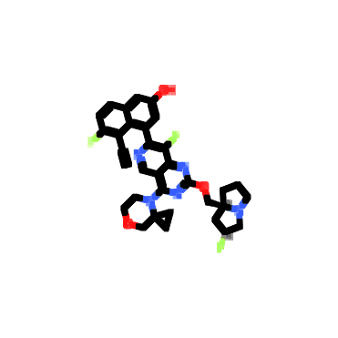 C#Cc1c(F)ccc2cc(O)cc(-c3ncc4c(N5CCOCC56CC6)nc(OC[C@@]56CCCN5C[C@H](F)C6)nc4c3F)c12